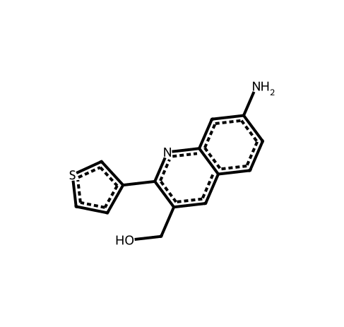 Nc1ccc2cc(CO)c(-c3ccsc3)nc2c1